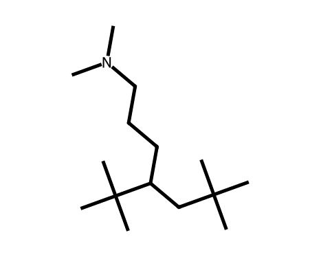 CN(C)CCCC(CC(C)(C)C)C(C)(C)C